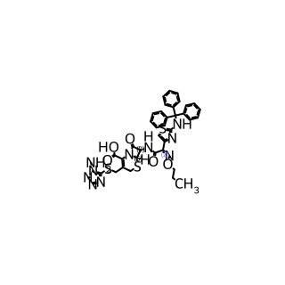 CCCO/N=C(\C(=O)N[C@@H]1C(=O)N2C(C(=O)O)=C(CSc3nnnn3N)CS[C@@H]12)c1csc(NC(c2ccccc2)(c2ccccc2)c2ccccc2)n1